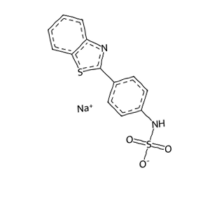 O=S(=O)([O-])Nc1ccc(-c2nc3ccccc3s2)cc1.[Na+]